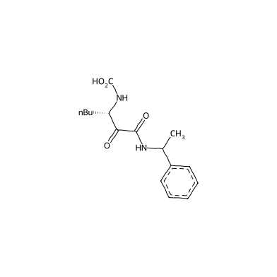 CCCC[C@H](NC(=O)O)C(=O)C(=O)NC(C)c1ccccc1